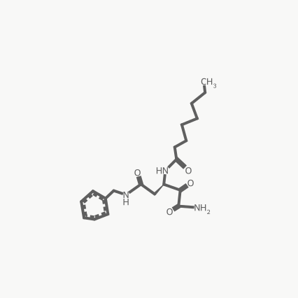 CCCCCCCC(=O)N[C@H](CC(=O)NCc1ccccc1)C(=O)C(N)=O